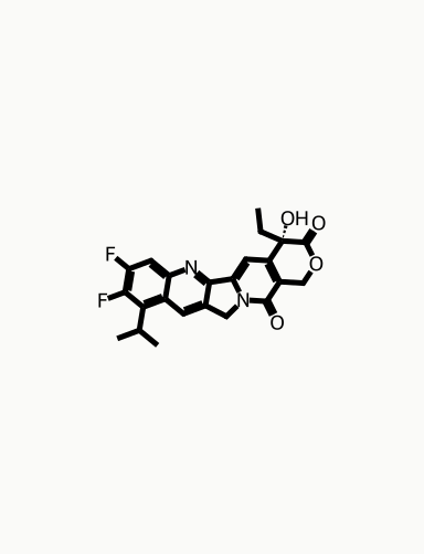 CC[C@@]1(O)C(=O)OCc2c1cc1n(c2=O)Cc2cc3c(C(C)C)c(F)c(F)cc3nc2-1